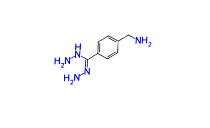 NCc1ccc(/C(=N/N)NN)cc1